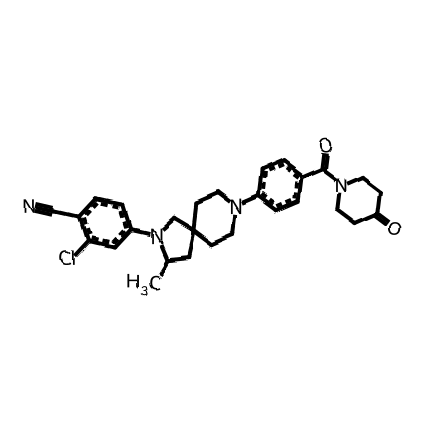 CC1CC2(CCN(c3ccc(C(=O)N4CCC(=O)CC4)cc3)CC2)CN1c1ccc(C#N)c(Cl)c1